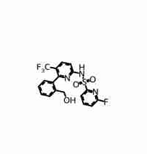 O=S(=O)(Nc1ccc(C(F)(F)F)c(-c2ccccc2CO)n1)c1cccc(F)n1